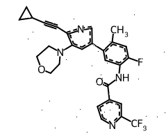 Cc1cc(F)c(NC(=O)c2ccnc(C(F)(F)F)c2)cc1-c1cnc(C#CC2CC2)c(N2CCOCC2)c1